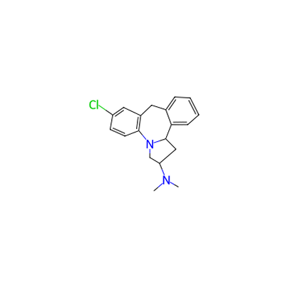 CN(C)C1CC2c3ccccc3Cc3cc(Cl)ccc3N2C1